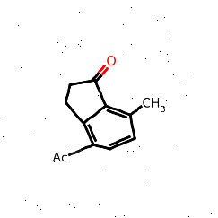 CC(=O)c1ccc(C)c2c1CCC2=O